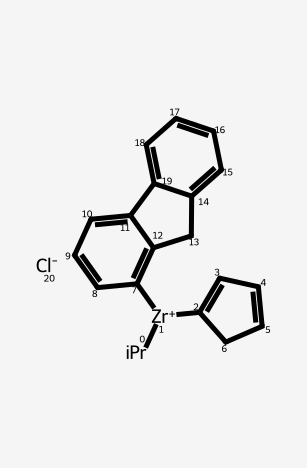 C[CH](C)[Zr+]([C]1=CC=CC1)[c]1cccc2c1Cc1ccccc1-2.[Cl-]